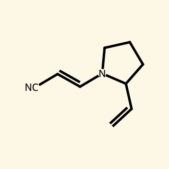 C=CC1CCCN1C=CC#N